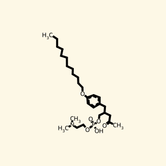 CCCCCCCCCCCCOc1ccc(CC(COP(=O)(O)OCCN(C)C)CC(C)=O)cc1